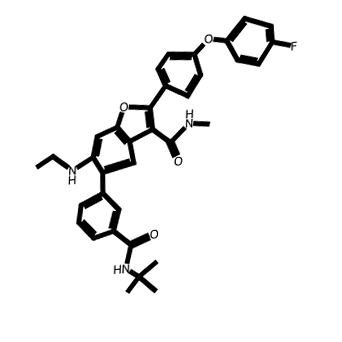 CCNc1cc2oc(-c3ccc(Oc4ccc(F)cc4)cc3)c(C(=O)NC)c2cc1-c1cccc(C(=O)NC(C)(C)C)c1